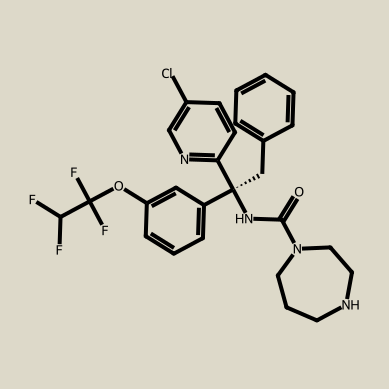 O=C(N[C@@](Cc1ccccc1)(c1cccc(OC(F)(F)C(F)F)c1)c1ccc(Cl)cn1)N1CCCNCC1